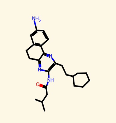 CC(C)CC(=O)Nc1nc2c(nc1CCC1CCCCC1)-c1ccc(N)cc1CC2